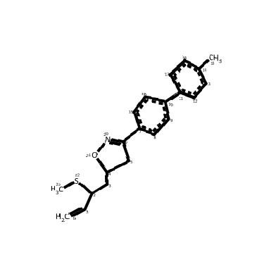 C=CC(CC1CC(c2ccc(-c3ccc(C)cc3)cc2)=NO1)SC